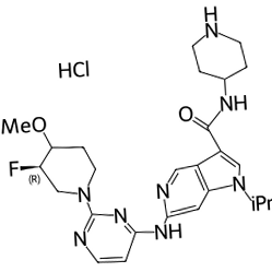 COC1CCN(c2nccc(Nc3cc4c(cn3)c(C(=O)NC3CCNCC3)cn4C(C)C)n2)C[C@H]1F.Cl